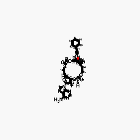 Nc1ncnc2c1ncn2[C@@H]1O[C@@H]2CCOP(=O)(S)O[C@@H]3[C@H](O)[C@@H](CCOP(=O)(S)O[C@H]2[C@H]1F)O[C@H]3C#Cc1ccccc1